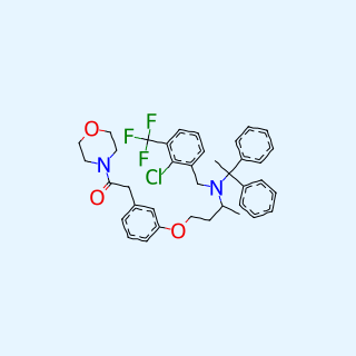 CC(CCOc1cccc(CC(=O)N2CCOCC2)c1)N(Cc1cccc(C(F)(F)F)c1Cl)C(C)(c1ccccc1)c1ccccc1